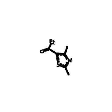 CCC(=O)c1sc(C)nc1C